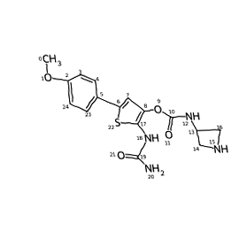 COc1ccc(-c2cc(OC(=O)NC3CNC3)c(NC(N)=O)s2)cc1